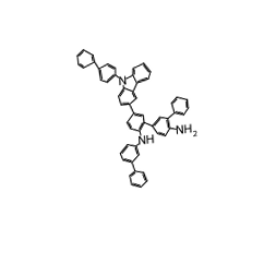 Nc1ccc(-c2cc(-c3ccc4c(c3)c3ccccc3n4-c3ccc(-c4ccccc4)cc3)ccc2Nc2cccc(-c3ccccc3)c2)cc1-c1ccccc1